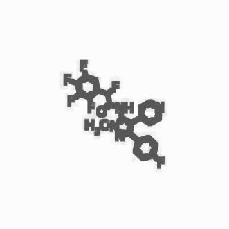 Cn1nc(-c2ccc(F)cc2)c(-c2ccncc2)c1NC(=O)C(F)c1cc(F)c(F)c(F)c1F